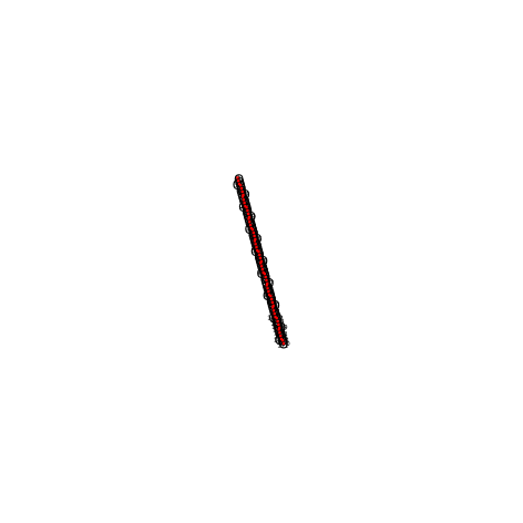 COCOC(=O)OCOOCOC(=O)OCOOCOC(=O)OCOOCOC(=O)OCOOCOC(=O)OCOOCOC(=O)OCOOCOC(=O)OCOOCOC(=O)OCOOCOC(=O)OCOOCOC(=O)OCOOCOC(=O)OCOOCOC(=O)OCOOCOC(=O)OCOOCOC(=O)OCOOCOC(=O)OCOC